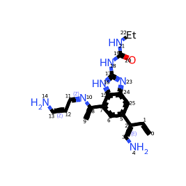 C=C/C(=C\N)c1cc(C(=C)/N=C\C=C/N)c2[nH]c(NC(=O)NCC)nc2c1